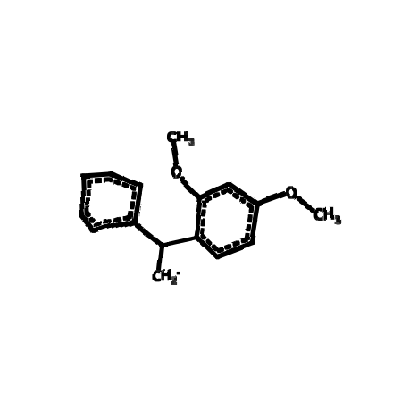 [CH2]C(c1ccccc1)c1ccc(OC)cc1OC